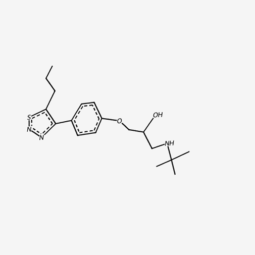 CCCc1snnc1-c1ccc(OCC(O)CNC(C)(C)C)cc1